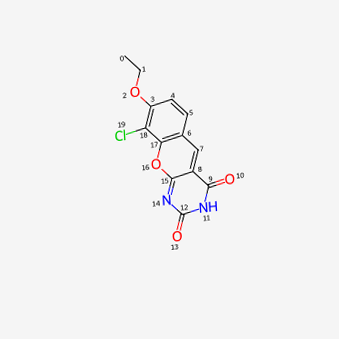 CCOc1ccc2cc3c(=O)[nH]c(=O)nc-3oc2c1Cl